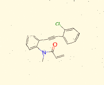 C=CC(=O)N(C)c1ccccc1C#Cc1ccccc1Cl